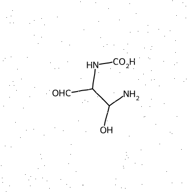 NC(O)C(C=O)NC(=O)O